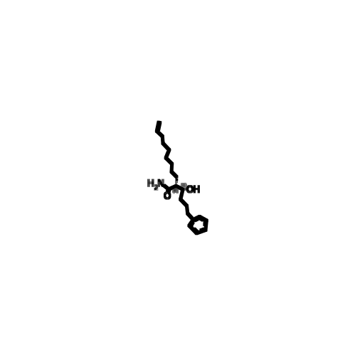 C=CCCCCCCC[C@@H](C(N)=O)[C@H](O)CCCc1ccccc1